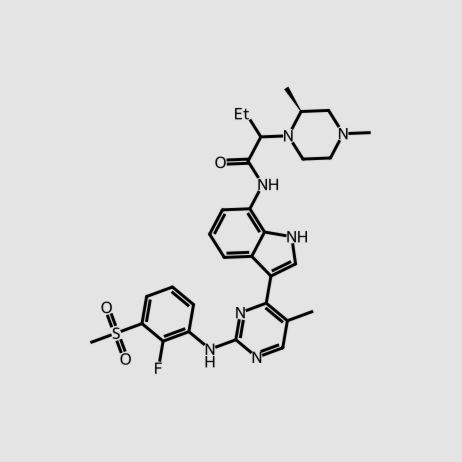 CCC(C(=O)Nc1cccc2c(-c3nc(Nc4cccc(S(C)(=O)=O)c4F)ncc3C)c[nH]c12)N1CCN(C)C[C@@H]1C